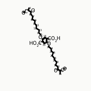 CC(=C=O)C(=O)CCCCCCCCCCOc1cc(C(=O)O)c(OCCCCCCCCCCC(=O)C(C)=C=O)cc1C(=O)O